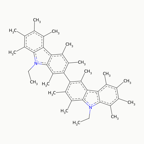 CCn1c2c(C)c(C)c(C)c(C)c2c2c(C)c(-c3c(C)c(C)c4c5c(C)c(C)c(C)c(C)c5n(CC)c4c3C)c(C)c(C)c21